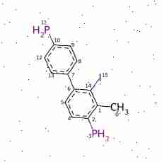 Cc1c(P)ccc(-c2ccc(P)cc2)c1I